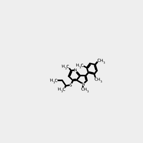 CCC(C)Sc1cc(C)nc2c(-c3c(C)cc(C)cc3C)cn(C)c12